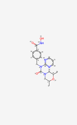 CC1CN(C(=O)N(Cc2ccc(C(=O)NO)cc2)c2ncccn2)CC(C)O1